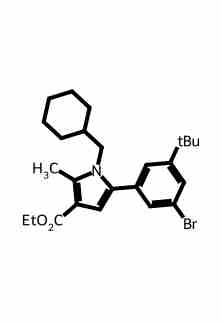 CCOC(=O)c1cc(-c2cc(Br)cc(C(C)(C)C)c2)n(CC2CCCCC2)c1C